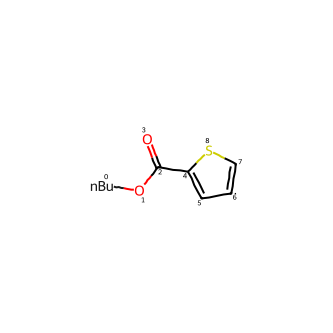 CCCCOC(=O)c1c[c]cs1